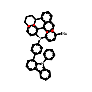 CC(C)(C)c1ccc(N(c2ccc(-c3cccc4c5ccccc5n(-c5ccccc5)c34)cc2)c2ccccc2-c2cccc3cccc(C4CCCCC4)c23)cc1